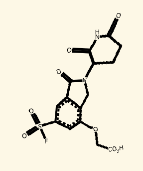 O=C(O)COc1cc(S(=O)(=O)F)cc2c1CN(C1CCC(=O)NC1=O)C2=O